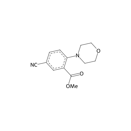 COC(=O)c1cc(C#N)ccc1N1CCOCC1